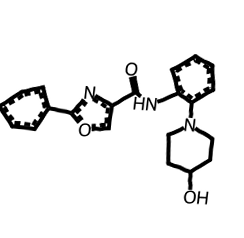 O=C(Nc1ccccc1N1CCC(O)CC1)c1coc(-c2ccccc2)n1